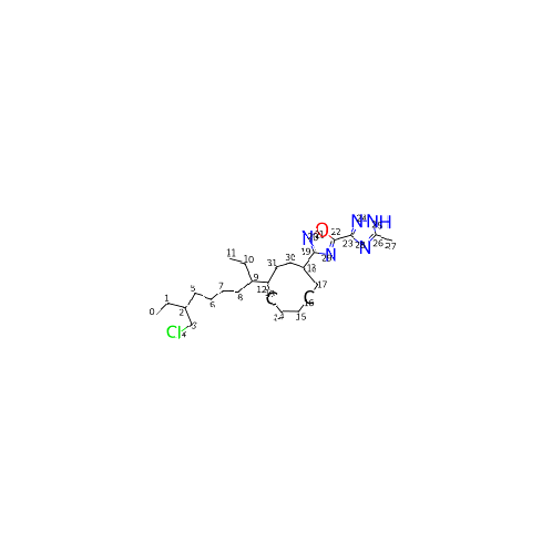 CCC(CCl)CCCCC(CC)C1CCCCCC(c2noc(-c3n[nH]c(C)n3)n2)CC1